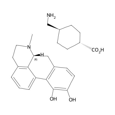 CN1CCc2cccc3c2[C@H]1Cc1ccc(O)c(O)c1-3.NC[C@H]1CC[C@H](C(=O)O)CC1